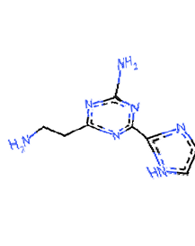 NCCc1nc(N)nc(-c2ncc[nH]2)n1